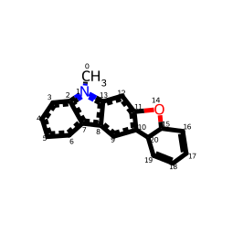 Cn1c2ccccc2c2cc3c(cc21)OC1C=CC=CC31